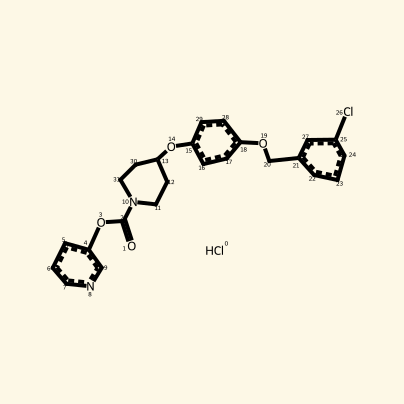 Cl.O=C(Oc1cccnc1)N1CCC(Oc2ccc(OCc3cccc(Cl)c3)cc2)CC1